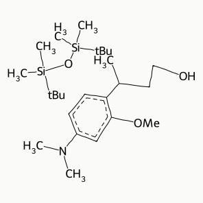 CC(C)(C)[Si](C)(C)O[Si](C)(C)C(C)(C)C.COc1cc(N(C)C)ccc1C(C)CCO